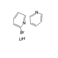 Brc1ccccn1.[LiH].c1ccncc1